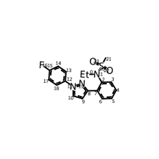 CCN(c1ccccc1-c1ccn(-c2ccc(F)cc2)n1)S(C)(=O)=O